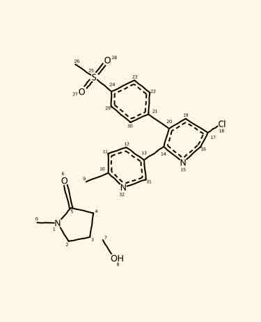 CN1CCCC1=O.CO.Cc1ccc(-c2ncc(Cl)cc2-c2ccc(S(C)(=O)=O)cc2)cn1